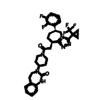 O=C(C[C@H]1CC[C@H](c2cccc(F)c2F)Cn2c1nnc2C1(C(F)(F)F)CC1)N1CCC(N2CCc3ccccc3NC2=O)CC1